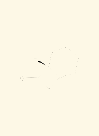 O=C1CC2CCCC[C@@H]12